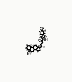 CC[C@H]1CC2C3CC[C@H]([C@H](C)CCC(=O)NS(=O)(=O)c4ccc(C(F)(F)F)nc4)[C@@]3(C)CCC2[C@@]2(C)CCCC[C@@H]12